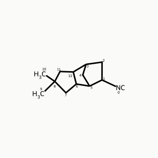 [C-]#[N+]C1CC2CC1C1CC(C)(C)CC21